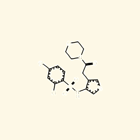 O=C(Cc1cscc1NS(=O)(=O)c1ccc(Cl)cc1Cl)N1CCOCC1